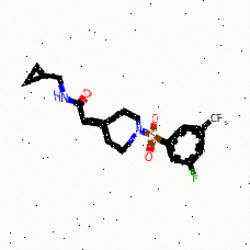 O=C(C=C1CCN(S(=O)(=O)c2cc(F)cc(C(F)(F)F)c2)CC1)NCC1CC1